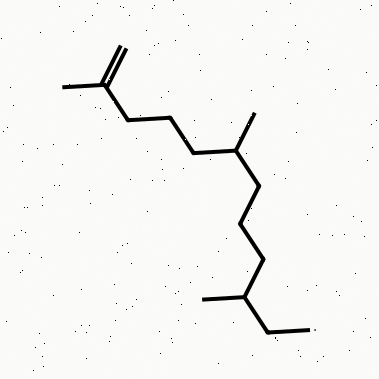 [CH2]CC(C)CCCC(C)CCCC(=C)C